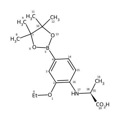 CCOc1cc(B2OC(C)(C)C(C)(C)O2)ccc1N[C@@H](C)C(=O)O